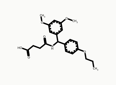 CCCOc1ccc(C(NC(=O)CCC(=O)O)c2cc(OC)cc(OC)c2)cc1